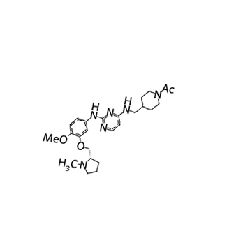 COc1ccc(Nc2nccc(NCC3CCN(C(C)=O)CC3)n2)cc1OC[C@@H]1CCCN1C